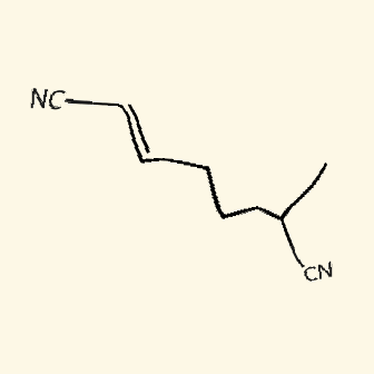 CC(C#N)CCC=CC#N